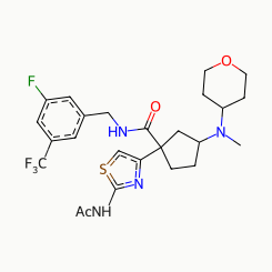 CC(=O)Nc1nc(C2(C(=O)NCc3cc(F)cc(C(F)(F)F)c3)CCC(N(C)C3CCOCC3)C2)cs1